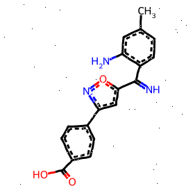 Cc1ccc(C(=N)c2cc(-c3ccc(C(=O)O)cc3)no2)c(N)c1